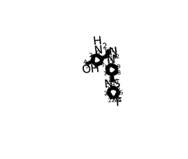 Nc1cc(CO)ccc1-c1cncn1-c1ccc(-c2nc3ccc(F)cc3s2)cc1